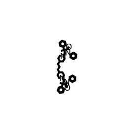 CC1(c2ccccc2)C(=O)N(c2ccccc2)C1N1CCC(CCCC2CCN(C3N(c4ccccc4)C(=O)C3(C)c3ccccc3)CC2)CC1